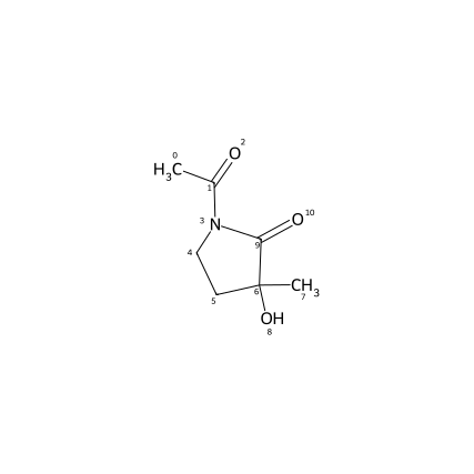 CC(=O)N1CCC(C)(O)C1=O